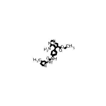 CCOC(=O)c1cn2ncnc(N)c2c1-c1ccc(NC(=O)Nc2cc(C)ccn2)cc1